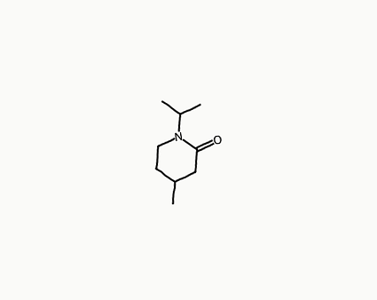 CC1CCN(C(C)C)C(=O)C1